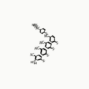 F.F.F.F.F.N#Cc1ccc([S])cc1.N#Cc1ccc([S])cc1.N#Cc1ccc([S])cc1.N#Cc1ccc([S])cc1.N#Cc1ccc([S])cc1